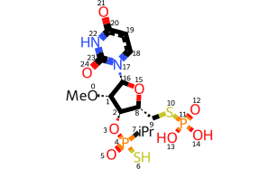 CO[C@H]1[C@@H](OP(=O)(S)C(C)C)[C@@H](CSP(=O)(O)O)O[C@H]1n1ccc(=O)[nH]c1=O